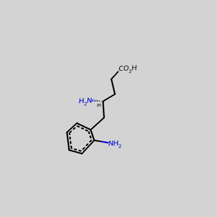 Nc1ccccc1C[C@H](N)CCC(=O)O